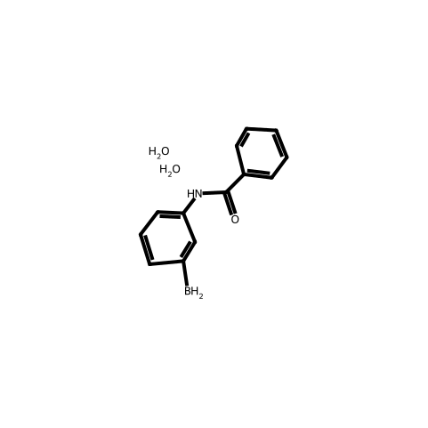 Bc1cccc(NC(=O)c2ccccc2)c1.O.O